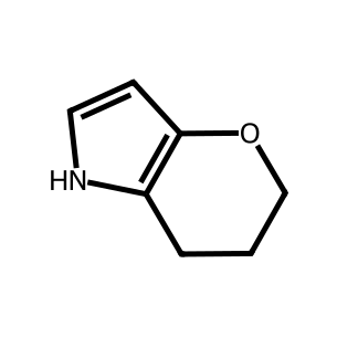 c1cc2c([nH]1)CCCO2